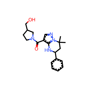 CC1(C)CC(c2ccccc2)Nc2c(C(=O)N3CCC(CO)C3)cnn21